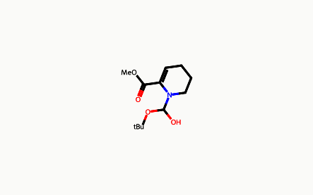 COC(=O)C1=CCCCN1C(O)OC(C)(C)C